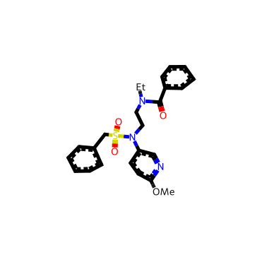 CCN(CCN(c1ccc(OC)nc1)S(=O)(=O)Cc1ccccc1)C(=O)c1ccccc1